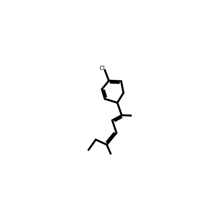 CC/C(C)=C\C=C(/C)C1C=CC(Cl)=CC1